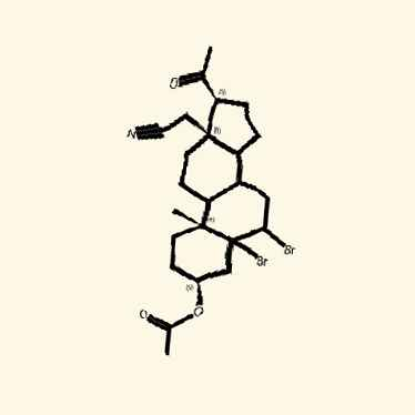 CC(=O)O[C@H]1CC[C@]2(C)C3CC[C@@]4(CC#N)C(CC[C@@H]4C(C)=O)C3CC(Br)C2(Br)C1